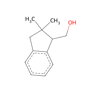 CC1(C)Cc2ccccc2C1CO